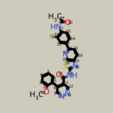 COc1ccccc1-c1cnncc1C(=O)Nc1nc2ccc(-c3ccc(NC(C)=O)c(F)c3)nc2s1